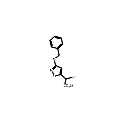 CCOC(=O)C(c1cc(OCc2ccccc2)no1)C(C)C